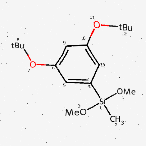 CO[Si](C)(OC)c1cc(OC(C)(C)C)cc(OC(C)(C)C)c1